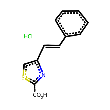 Cl.O=C(O)c1nc(C=Cc2ccccc2)cs1